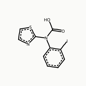 O=C(O)N(c1nccs1)c1ccccc1I